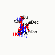 CCCCCCCCCCCCCCCCOP(=O)(CCCNCCCC[C@H](NC(=O)c1ccc(Cn2c(O)nc3c(N)nc(NCCCC)nc32)cc1)C(=O)NCCCN(CCCCN(CCCNC(=O)OC(C)(C)C)C(=O)OC(C)(C)C)C(=O)OC(C)(C)C)OCCCCCCCCCCCCCCCC